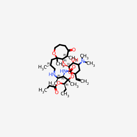 C=CC1CC(N(C)C)C(O)[C@H](O[C@@H]2[C@@H](C)C(=O)CCCOC2(C)C[C@@H](C)CN[C@H](C)[C@H]2NC(=O)O[C@]2(C)[C@@H](CC)OC(=O)CC)O1